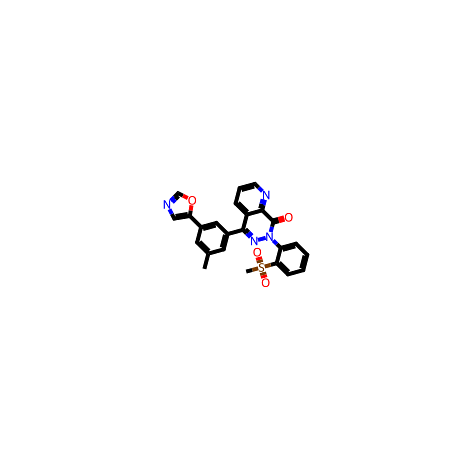 Cc1cc(-c2cnco2)cc(-c2nn(-c3ccccc3S(C)(=O)=O)c(=O)c3ncccc23)c1